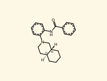 O=C(Nc1ccccc1N1CC[C@@H]2CCCC[C@H]2C1)c1ccccc1